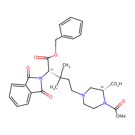 COC(=O)N1CCN(CCC(C)(C)[C@@H](C(=O)OCc2ccccc2)N2C(=O)c3ccccc3C2=O)C[C@@H]1C(=O)O